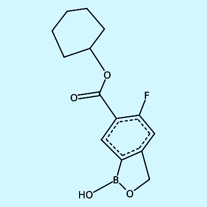 O=C(OC1CCCCC1)c1cc2c(cc1F)COB2O